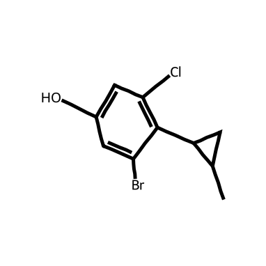 CC1CC1c1c(Cl)cc(O)cc1Br